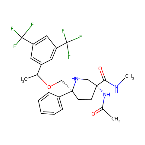 CNC(=O)[C@@]1(NC(C)=O)CC[C@@](COC(C)c2cc(C(F)(F)F)cc(C(F)(F)F)c2)(c2ccccc2)NC1